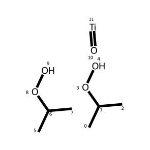 CC(C)OO.CC(C)OO.[O]=[Ti]